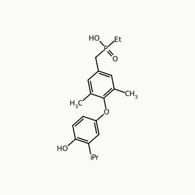 CCP(=O)(O)Cc1cc(C)c(Oc2ccc(O)c(C(C)C)c2)c(C)c1